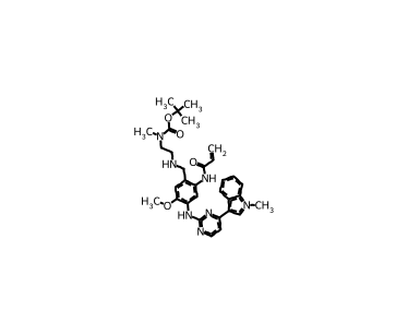 C=CC(=O)Nc1cc(Nc2nccc(-c3cn(C)c4ccccc34)n2)c(OC)cc1CNCCN(C)C(=O)OC(C)(C)C